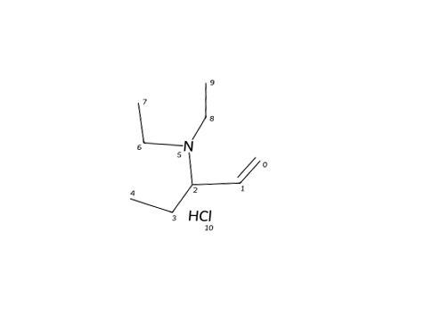 C=CC(CC)N(CC)CC.Cl